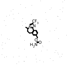 CC1CCc2cc(COC(N)=O)ccc2-c2nc(C(F)(F)F)cn21